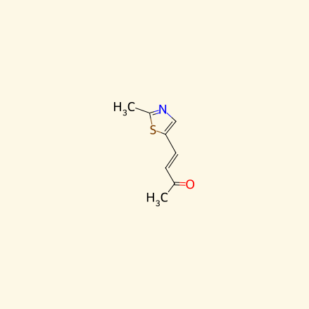 CC(=O)/C=C/c1cnc(C)s1